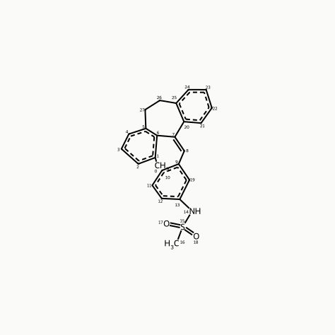 Cc1cccc2c1/C(=C\c1cccc(NS(C)(=O)=O)c1)c1ccccc1CC2